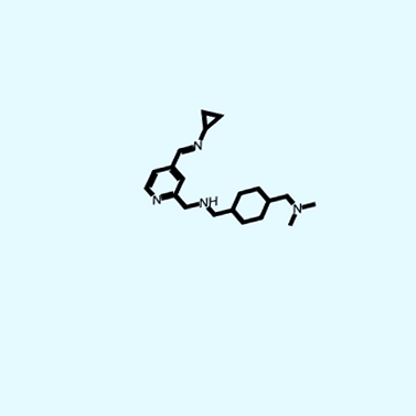 CN(C)CC1CCC(CNCc2cc(C=NC3CC3)ccn2)CC1